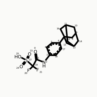 O=C(Nc1ccc(C23CC4CC(CC(C4)C2)C3)cc1)C(F)(F)S(=O)(=O)O